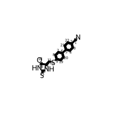 N#Cc1ccc(-c2ccc(SC=C3NC(=S)NC3=O)cc2)cc1